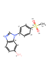 Bc1ccc2ncn(-c3ccc(S(C)(=O)=O)cc3)c2c1